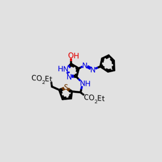 CCOC(=O)Cc1ccc(C(Nc2n[nH]c(O)c2N=Nc2ccccc2)C(=O)OCC)s1